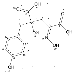 O=C(O)C(CC(O)(Cc1ccc(O)cc1)C(=O)O)=NO